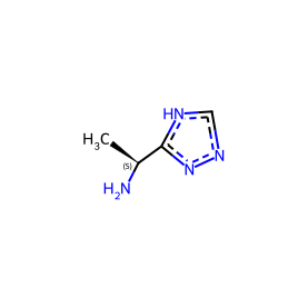 C[C@H](N)c1nnc[nH]1